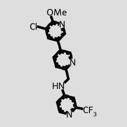 COc1ncc(-c2ccc(CNc3ccnc(C(F)(F)F)c3)nc2)cc1Cl